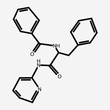 O=C(NC(Cc1ccccc1)C(=O)Nc1ccccn1)c1ccccc1